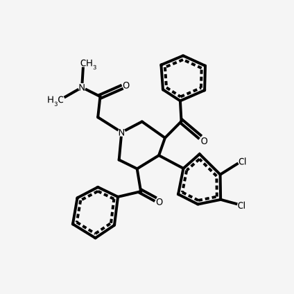 CN(C)C(=O)CN1CC(C(=O)c2ccccc2)C(c2ccc(Cl)c(Cl)c2)C(C(=O)c2ccccc2)C1